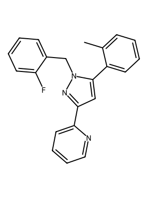 Cc1ccccc1-c1cc(-c2ccccn2)nn1Cc1ccccc1F